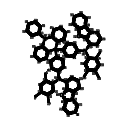 Cc1cc(C)c(N(c2ccc(C3(c4ccc(N(c5cc(C)c(C)cc5C)c5cccc6c5oc5ccccc56)cc4)c4ccccc4N(c4ccccc4)c4ccccc43)cc2)c2cccc3c2oc2ccccc23)cc1C